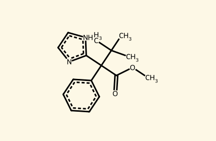 COC(=O)C(c1ccccc1)(c1ncc[nH]1)C(C)(C)C